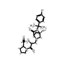 CC(C)(c1ccc(F)cc1)N1C(=O)C2C[C@H]1CN2CC(N)C(=O)N1CCCC1C#N